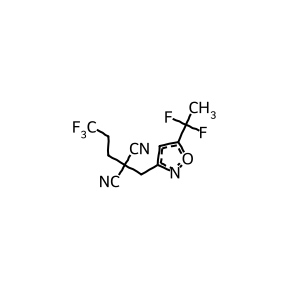 CC(F)(F)c1cc(CC(C#N)(C#N)CCC(F)(F)F)no1